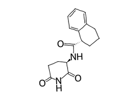 O=C1CC[C@@H](NC(=O)[C@H]2CCCc3ccccc32)C(=O)N1